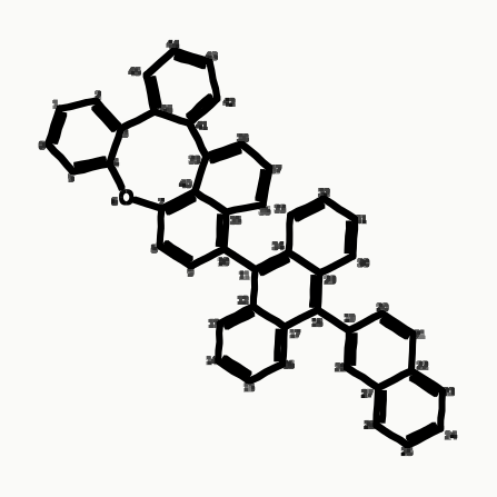 c1ccc2c(c1)Oc1ccc(-c3c4ccccc4c(-c4ccc5ccccc5c4)c4ccccc34)c3cccc(c13)-c1ccccc1-2